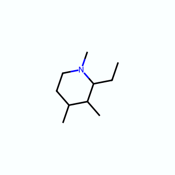 CCC1C(C)C(C)CCN1C